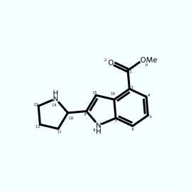 COC(=O)c1cccc2[nH]c(C3CCCN3)cc12